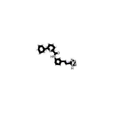 O=C(Nc1cccc(/C=C/c2nnn[nH]2)c1)c1cccc(-c2ccccc2)n1